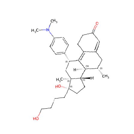 C[C@H]1CC2=CC(=O)CCC2=C2[C@@H]1[C@@H]1CC[C@@](O)(CCCCO)[C@@]1(C)C[C@@H]2c1ccc(N(C)C)cc1